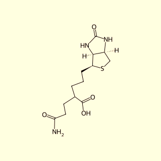 NC(=O)CCC(CCC[C@@H]1SC[C@@H]2NC(=O)N[C@@H]21)C(=O)O